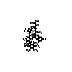 Bc1c(B)c(B)c(C(B)(B)[C@H](NC(=O)[C@H](CC(B)(B)C(B)(B)CN)NC(=O)[C@H](Cc2c(C)cc(O)cc2C)NC(=O)[C@H](N)CCCNC(=N)N)C(N)=O)c(B)c1B